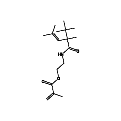 C=C(C)C(=O)OCCNC(=O)C(C)(C=C(C)C)C(C)(C)C